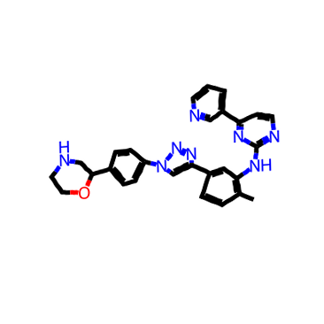 Cc1ccc(-c2cn(-c3ccc(C4CNCCO4)cc3)nn2)cc1Nc1nccc(-c2cccnc2)n1